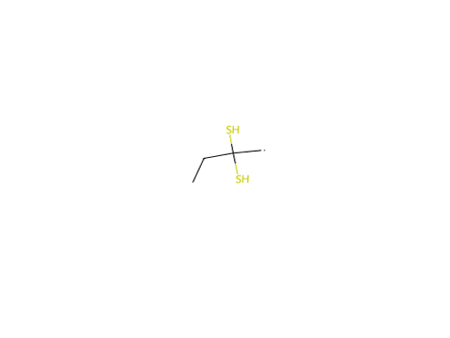 [CH2]C(S)(S)CC